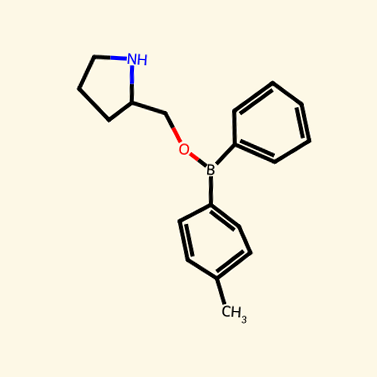 Cc1ccc(B(OCC2CCCN2)c2ccccc2)cc1